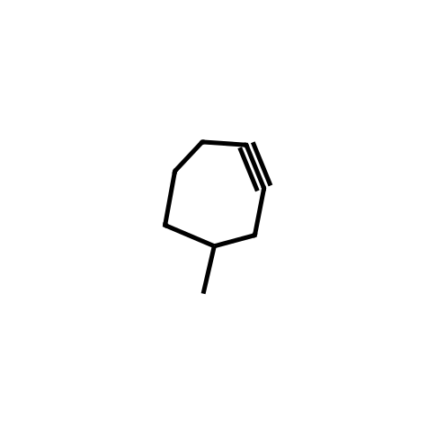 CC1CC#CCCC1